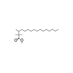 CCCCCCCCCCCCCC(C)C(C)(C)C(=O)OC